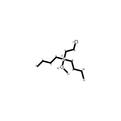 CCCC[Si](CCCl)(CCCC)OC